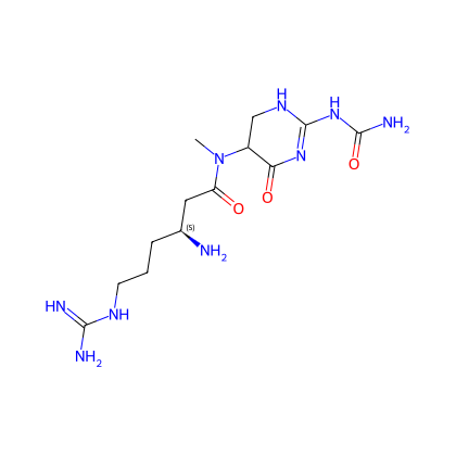 CN(C(=O)C[C@@H](N)CCCNC(=N)N)C1CNC(NC(N)=O)=NC1=O